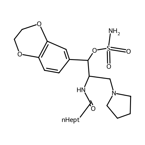 CCCCCCCC(=O)NC(CN1CCCC1)C(OS(N)(=O)=O)c1ccc2c(c1)OCCO2